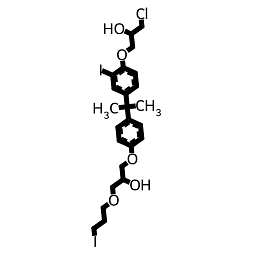 CC(C)(c1ccc(OCC(O)COCCCI)cc1)c1ccc(OCC(O)CCl)c(I)c1